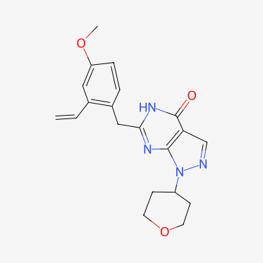 C=Cc1cc(OC)ccc1Cc1nc2c(cnn2C2CCOCC2)c(=O)[nH]1